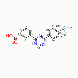 O=C(O)c1cccc(-c2ncnc(-c3ccc(C(F)(F)F)cc3)n2)c1